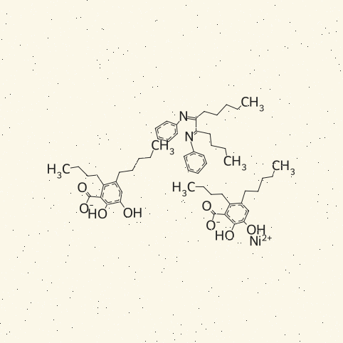 CCCCCC(=Nc1ccccc1)C(CCCC)=Nc1ccccc1.CCCCCc1cc(O)c(O)c(C(=O)[O-])c1CCCC.CCCCCc1cc(O)c(O)c(C(=O)[O-])c1CCCC.[Ni+2]